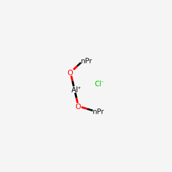 CCC[O][Al+][O]CCC.[Cl-]